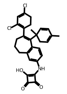 CC1=CCC(C)(C2=C(C3=C(Cl)C=C(Cl)CC3)CCCc3cc(Nc4c(O)c(=O)c4=O)ccc32)C=C1